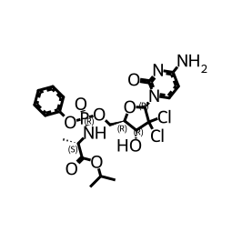 CC(C)OC(=O)[C@H](C)N[P@@](=O)(OC[C@H]1O[C@@H](n2ccc(N)nc2=O)C(Cl)(Cl)[C@@H]1O)Oc1ccccc1